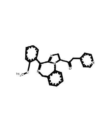 COc1ccccc1C1=NCc2ccccc2N2C1=NCC2C(=O)Cc1ccncc1